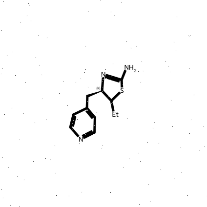 CCC1SC(N)=N[C@@H]1Cc1ccncc1